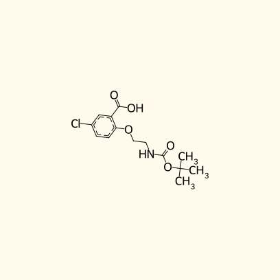 CC(C)(C)OC(=O)NCCOc1ccc(Cl)cc1C(=O)O